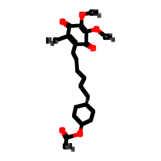 COC1=C(OC)C(=O)C(CCCCCC[C@H]2CC[C@H](OC(C)=O)CC2)=C(C)C1=O